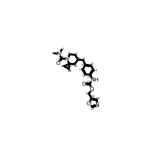 CN(C)C(=O)N1CCC(Cc2ccc(NC(=O)OCc3cnco3)cc2)CC12CC2